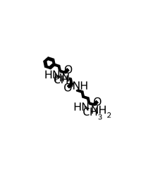 CNC(CCCCNC(=O)CNC(=O)C(Cc1ccccc1)NC)C(N)=O